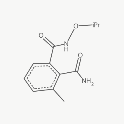 Cc1cccc(C(=O)NOC(C)C)c1C(N)=O